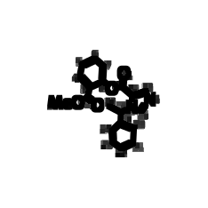 COC(=O)c1ccccc1OC(=O)c1cncn1C(C)c1ccccc1